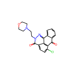 O=C1c2ccccc2-c2nn(CCN3CCOCC3)c(=O)c3ccc(Cl)c1c23